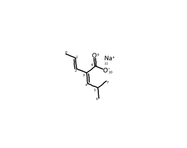 CC=CC(=CC(C)C)C(=O)[O-].[Na+]